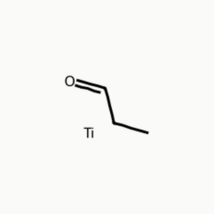 CCC=O.[Ti]